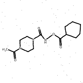 CC(=O)N1CCN(C(=O)NOC(=O)C2CCCCC2)CC1